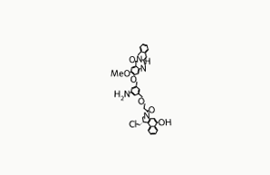 COc1cc2c(cc1OCc1cc(N)cc(COCCC(=O)N3C[C@@H](CCl)c4c3cc(O)c3ccccc43)c1)N=C[C@@H]1Cc3ccccc3CN1C2=O